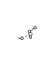 CCCCc1ccc2c(c1)CCc1c(CCc3ccccc3)cccc1C2N(C)CCOc1ccc(CC(OCC)C(=O)O)cc1